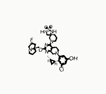 C[C@H]1C[C@H]1c1c(Cl)cc(O)cc1N1CCc2c(nc(OC[C@@]34CCCN3C[C@H](F)C4)nc2N2CCC[C@]3(CNS(=O)(=O)N3)C2)C1